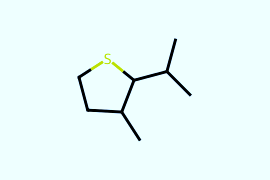 CC(C)C1SCCC1C